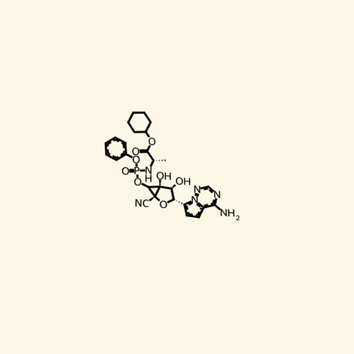 C[C@H](NP(=O)(Oc1ccccc1)OC1[C@@]2(C#N)O[C@@H](c3ccc4c(N)ncnn34)[C@H](O)[C@@]12O)C(=O)OC1CCCCC1